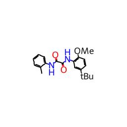 COc1ccc(C(C)(C)C)cc1NC(=O)C(=O)Nc1ccccc1C